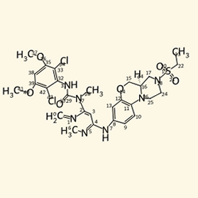 C=N/C(=C\C(=N/C)Nc1ccc2c(c1)OC[C@H]1CN(S(=O)(=O)CC)CCN21)N(C)C(=O)Nc1c(Cl)c(OC)cc(OC)c1Cl